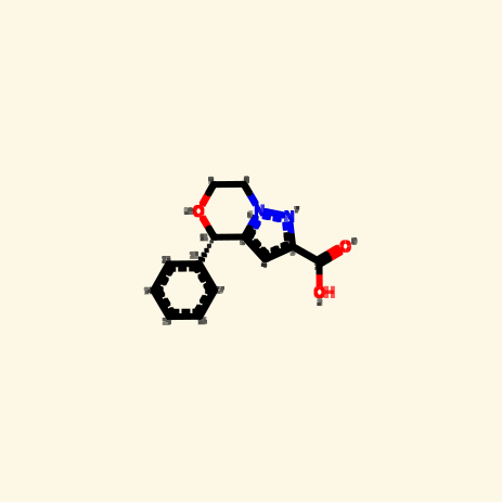 O=C(O)c1cc2n(n1)CCO[C@H]2c1ccccc1